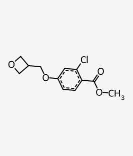 COC(=O)c1ccc(OCC2COC2)cc1Cl